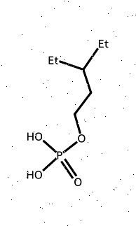 CCC(CC)CCOP(=O)(O)O